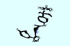 CCC(CC)(c1ccc(NC(=O)/C=C/c2snnc2-c2ccc(F)cc2)cc1)P(=O)(O)O